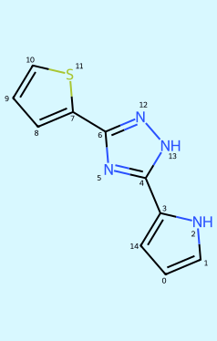 c1c[nH]c(-c2nc(-c3cccs3)n[nH]2)c1